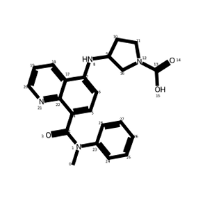 CN(C(=O)c1ccc(NC2CCN(C(=O)O)C2)c2cccnc12)c1ccccc1